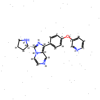 c1cncc(Oc2ccc(-c3nc([C@@H]4CCCN4)n4ccncc34)cc2)c1